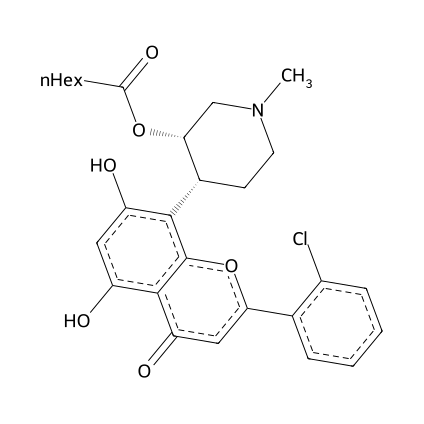 CCCCCCC(=O)O[C@@H]1CN(C)CC[C@@H]1c1c(O)cc(O)c2c(=O)cc(-c3ccccc3Cl)oc12